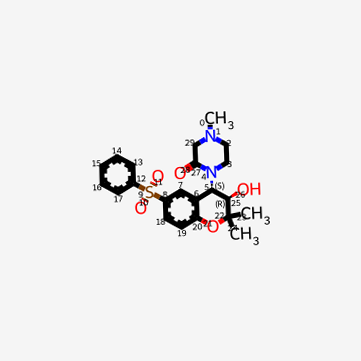 CN1CCN([C@H]2c3cc(S(=O)(=O)c4ccccc4)ccc3OC(C)(C)[C@@H]2O)C(=O)C1